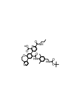 CCCNC(=O)c1ccc(-c2cc3c(cc2C(=O)Nc2c(C)cc(CNC(=O)OC(C)(C)C)cc2C)-c2ccsc2CCO3)c(C(=O)OC)n1